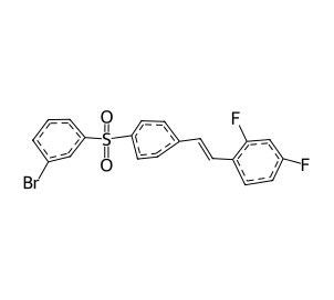 O=S(=O)(c1ccc(C=Cc2ccc(F)cc2F)cc1)c1cccc(Br)c1